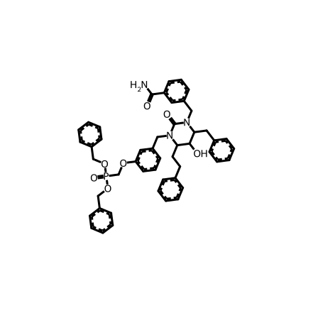 NC(=O)c1cccc(CN2C(=O)N(Cc3cccc(OCP(=O)(OCc4ccccc4)OCc4ccccc4)c3)C(CCc3ccccc3)C(O)C2Cc2ccccc2)c1